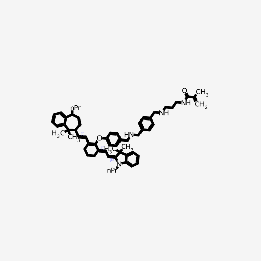 C=C(C)C(=O)NCCCNCc1ccc(CNCc2ccc(OC3=C(/C=C/C4CCC(CCC)c5ccccc5C4(C)C)CCC/C3=C\C=C3\N(CCC)c4ccccc4C3(C)C)cc2)cc1